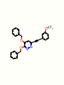 FC(F)(F)Oc1cccc(C#Cc2cc(OCc3ccccc3)c(OCc3ccccc3)nn2)c1